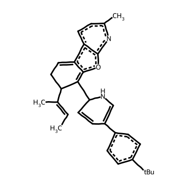 CC=C(C)C1CC=c2c(oc3nc(C)ccc23)=C1C1C=CC(c2ccc(C(C)(C)C)cc2)=CN1